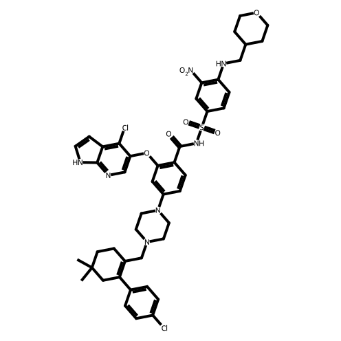 CC1(C)CCC(CN2CCN(c3ccc(C(=O)NS(=O)(=O)c4ccc(NCC5CCOCC5)c([N+](=O)[O-])c4)c(Oc4cnc5[nH]ccc5c4Cl)c3)CC2)=C(c2ccc(Cl)cc2)C1